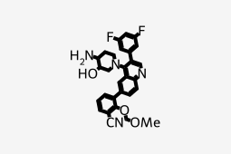 COCOc1c(C#N)cccc1-c1ccc2ncc(-c3cc(F)cc(F)c3)c(N3CCC(N)C(O)C3)c2c1